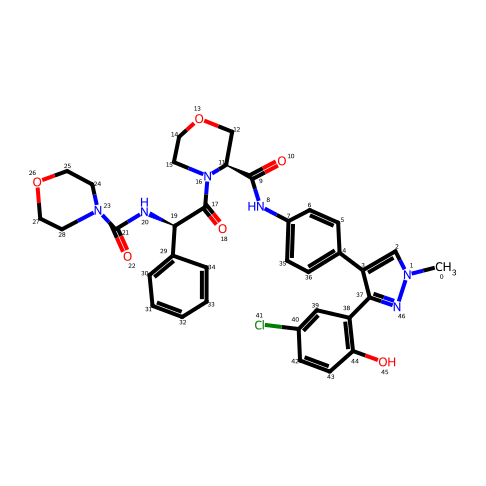 Cn1cc(-c2ccc(NC(=O)[C@@H]3COCCN3C(=O)[C@H](NC(=O)N3CCOCC3)c3ccccc3)cc2)c(-c2cc(Cl)ccc2O)n1